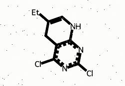 CCC1=CNc2nc(Cl)nc(Cl)c2C1